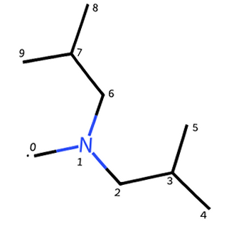 [CH2]N(CC(C)C)CC(C)C